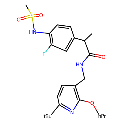 CCCOc1nc(C(C)(C)C)ccc1CNC(=O)C(C)c1ccc(NS(C)(=O)=O)c(F)c1